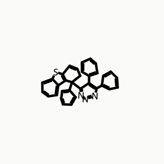 C1=Cc2sc3ccccc3c2C(c2ccccc2)(c2nnnc(-c3ccccc3)c2-c2ccccc2)C1